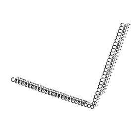 [Ca+2].[Ca+2].[Ca+2].[Ca+2].[Ca+2].[Ca+2].[Ca+2].[Ca+2].[Ca+2].[Ca+2].[Ca+2].[Ca+2].[Ca+2].[Ca+2].[Ca+2].[Ca+2].[Ca+2].[Ca+2].[Ca+2].[Ca+2].[Ca+2].[Ca+2].[Ca+2].[Ca+2].[Ca+2].[Ca+2].[Ca+2].[Ca+2].[Ca+2].[Ca+2].[Ca+2].[Ca+2].[Ca+2].[Ca+2].[Ca+2].[Ca+2].[Ca+2].[Ca+2].[Ca+2].[Ca+2].[Ca+2].[Ca+2].[Ca+2].[O-2].[O-2].[O-2].[O-2].[O-2].[O-2].[O-2]